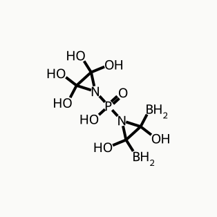 BC1(O)N(P(=O)(O)N2C(O)(O)C2(O)O)C1(B)O